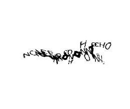 Cn1c(-c2cn(CC#N)nc2C(F)(F)F)cnc1C(=O)Nc1ccc(C(=O)N[C@H]2C[C@@H](NC(=O)N3CC(OC=O)CC3CN)C2)c(Cl)c1